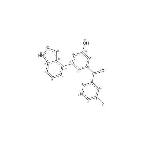 Cc1cncc(C(=O)c2cc(O)cc(-c3cccc4[nH]ccc34)c2)c1